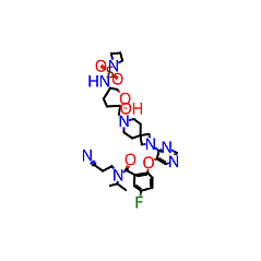 CC(C)N(CCC#N)C(=O)c1cc(F)ccc1Oc1cncnc1N1CC2(CCN(C[C@@]3(O)CC[C@@H](NS(=O)(=O)N4CCC4)CO3)CC2)C1